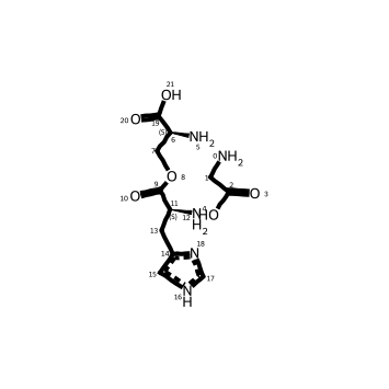 NCC(=O)O.N[C@@H](COC(=O)[C@@H](N)Cc1c[nH]cn1)C(=O)O